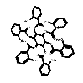 CC(=O)Oc1ccccc1C(=O)OC1C(OC(=O)c2ccccc2OC(C)=O)C(OC(=O)c2ccccc2OC(C)=O)C(OC(=O)c2ccccc2OC(C)=O)C(OC(=O)c2ccccc2OC(C)=O)C1OC(=O)c1ccccc1OC(C)=O